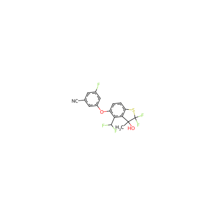 CC1(O)c2c(ccc(Oc3cc(F)cc(C#N)c3)c2C(F)F)SC1(F)F